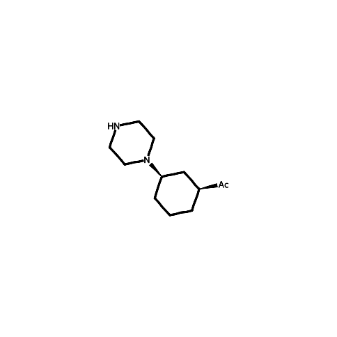 CC(=O)[C@H]1CCC[C@@H](N2CCNCC2)C1